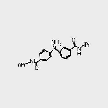 CCCNC(=O)c1c[c]c(N(N)c2cccc(C(=O)NC(C)C)c2)cc1